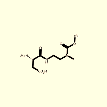 CN[C@@H](CC(=O)O)C(=O)NCCN(C)C(=O)OC(C)(C)C